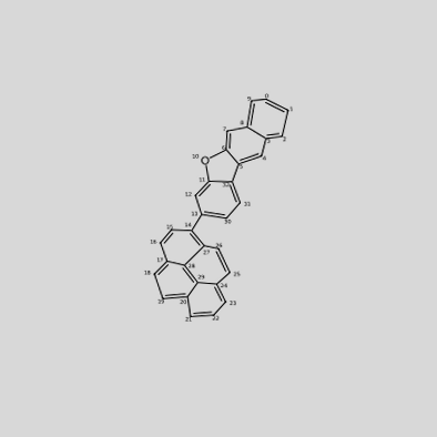 c1ccc2cc3c(cc2c1)oc1cc(-c2ccc4ccc5cccc6ccc2c4c56)ccc13